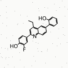 CCc1cc(-c2ccc(O)c(F)c2)nc2ccc(-c3ccccc3O)cc12